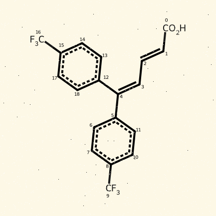 O=C(O)C=CC=C(c1ccc(C(F)(F)F)cc1)c1ccc(C(F)(F)F)cc1